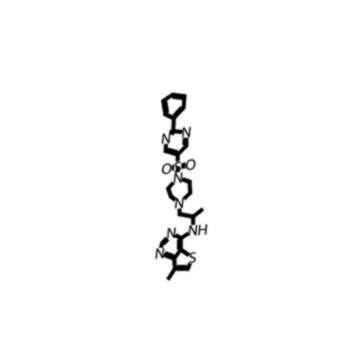 Cc1csc2c(NC(C)CN3CCN(S(=O)(=O)c4cnc(-c5ccccc5)nc4)CC3)ncnc12